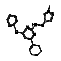 Cn1cc(SNc2nc(Oc3ccccc3)cc(C3=CCCCC3)n2)cn1